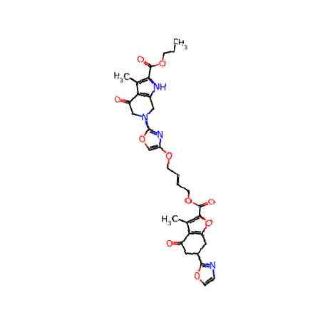 CCCOC(=O)c1[nH]c2c(c1C)C(=O)CN(c1nc(OCCCCOC(=O)c3oc4c(c3C)C(=O)CC(c3ncco3)C4)co1)C2